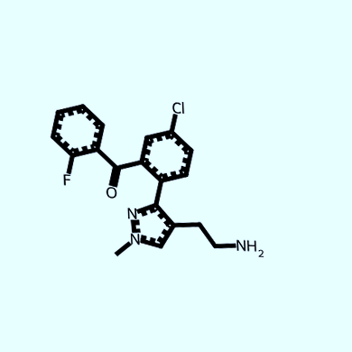 Cn1cc(CCN)c(-c2ccc(Cl)cc2C(=O)c2ccccc2F)n1